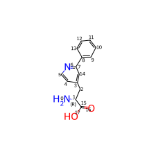 N[C@H](Cc1ccnc(-c2ccccc2)c1)C(=O)O